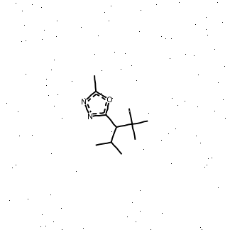 Cc1nnc(C(C(C)C)C(C)(C)C)o1